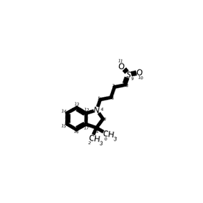 CC1(C)CN(CCCC=S(=O)=O)c2ccccc21